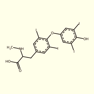 CNC(Cc1cc(I)c(Oc2cc(I)c(O)c(I)c2)c(I)c1)C(=O)O